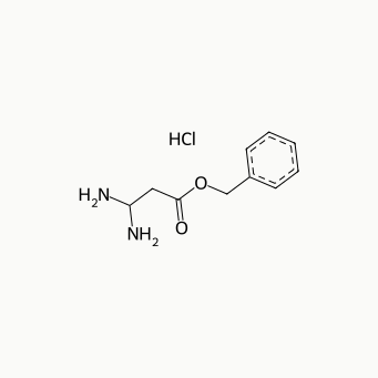 Cl.NC(N)CC(=O)OCc1ccccc1